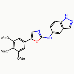 COc1cc(-c2cnc(Nc3ccc4[nH]ncc4c3)o2)cc(OC)c1OC